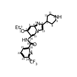 CCOc1cc2nc(C3CCNCC3)cn2cc1NC(=O)c1cccc(C(F)(F)F)n1